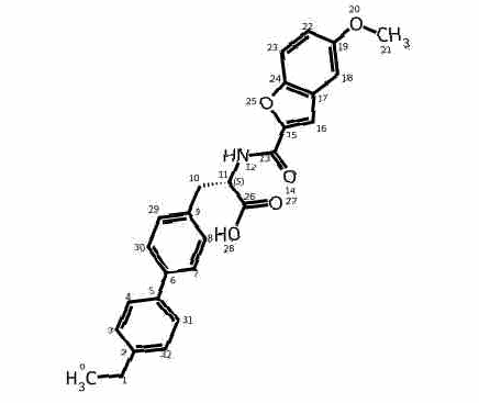 CCc1ccc(-c2ccc(C[C@H](NC(=O)c3cc4cc(OC)ccc4o3)C(=O)O)cc2)cc1